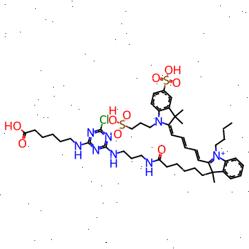 CCCC[N+]1=C(/C=C/C=C/C=C2/N(CCCS(=O)(=O)O)c3ccc(S(=O)(=O)O)cc3C2(C)C)C(C)(CCCCCC(=O)NCCCNc2nc(Cl)nc(NCCCCCC(=O)O)n2)c2ccccc21